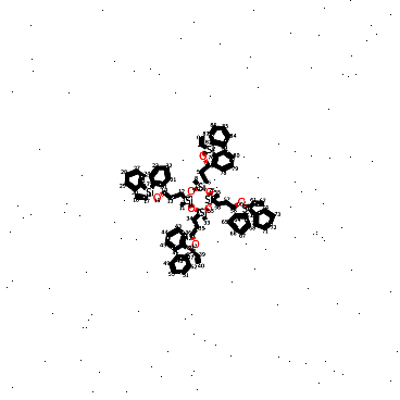 C=C[Si](OCCC[Si]1(C)O[Si](C)(CCCO[Si](C=C)(c2ccccc2)c2ccccc2)O[Si](C)(CCCO[Si](C=C)(c2ccccc2)c2ccccc2)O[Si](C)(CCCO[Si](C=C)(c2ccccc2)c2ccccc2)O1)(c1ccccc1)c1ccccc1